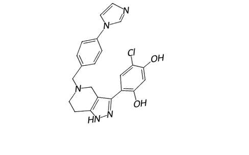 Oc1cc(O)c(-c2n[nH]c3c2CN(Cc2ccc(-n4ccnc4)cc2)CC3)cc1Cl